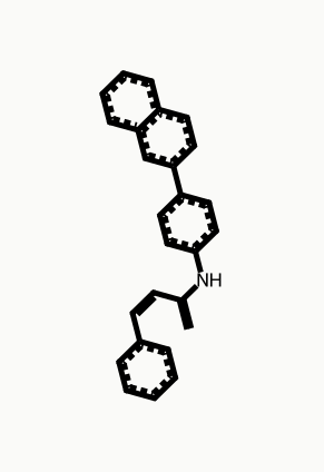 C=C(/C=C\c1ccccc1)Nc1ccc(-c2ccc3ccccc3c2)cc1